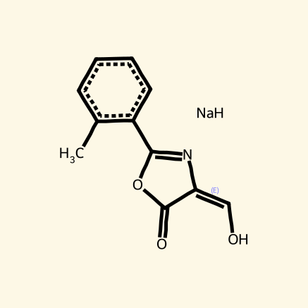 Cc1ccccc1C1=N/C(=C/O)C(=O)O1.[NaH]